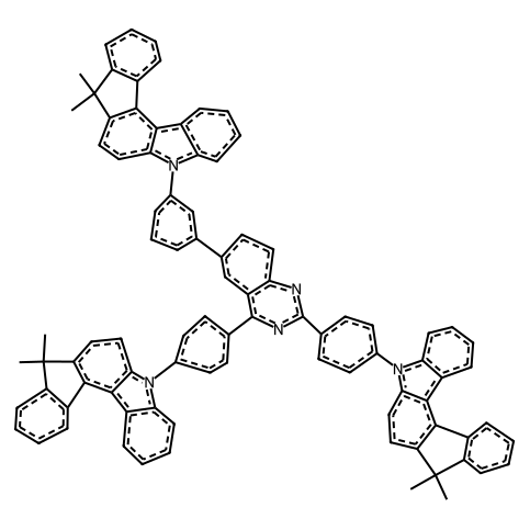 CC1(C)c2ccccc2-c2c1ccc1c2c2ccccc2n1-c1ccc(-c2nc(-c3ccc(-n4c5ccccc5c5c6c(ccc54)C(C)(C)c4ccccc4-6)cc3)c3cc(-c4cccc(-n5c6ccccc6c6c7c(ccc65)C(C)(C)c5ccccc5-7)c4)ccc3n2)cc1